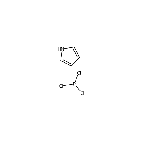 ClP(Cl)Cl.c1cc[nH]c1